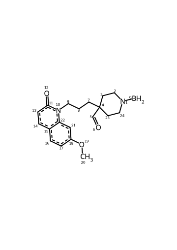 BN1CCC(C=O)(CCCn2c(=O)ccc3ccc(OC)cc32)CC1